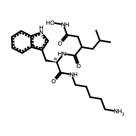 CC(C)CC(CC(=O)NO)C(=O)N[C@H](Cc1c[nH]c2ccccc12)C(=O)NCCCCCN